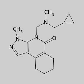 CN(CC1CC1)Cn1c(=O)c2c(c3cnn(C)c31)CCCC2